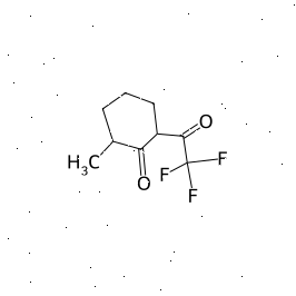 CC1CCCC(C(=O)C(F)(F)F)C1=O